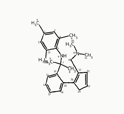 Cc1cc(C)c(NC(C)(C)c2ccccc2C2=C(CN(C)C)C=CC2)c(C)c1